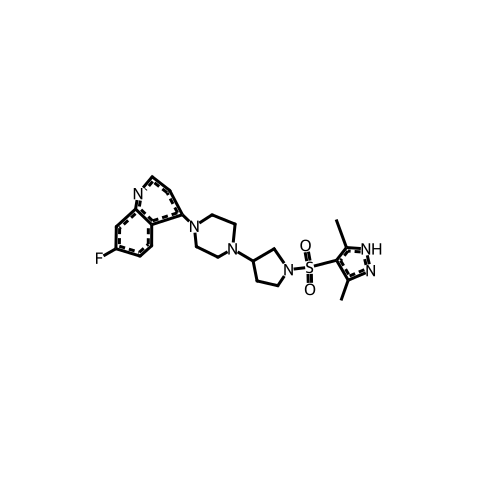 Cc1n[nH]c(C)c1S(=O)(=O)N1CCC(N2CCN(c3ccnc4cc(F)ccc34)CC2)C1